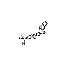 C=CC(=O)NC1C2CN(S(=O)(=O)c3ccc(Nc4cc5ccccc5cn4)cc3)CC21